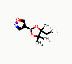 CCC1(C)OB(c2cnoc2)OC1(C)C